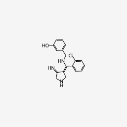 N=C1CNC/C1=C(/NCc1cccc(O)c1)c1ccccc1Cl